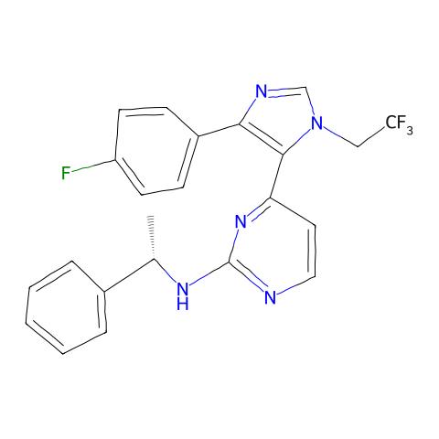 C[C@H](Nc1nccc(-c2c(-c3ccc(F)cc3)ncn2CC(F)(F)F)n1)c1ccccc1